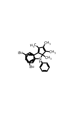 CCC(C)c1cc(C2=C(C)C(C)=C(C)C2(C)[SiH](c2ccccc2)c2ccccc2)cc(C(C)CC)c1